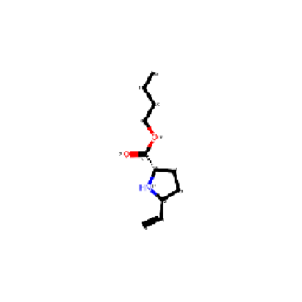 C=C[C@@H]1CC[C@@H](C(=O)OCCCC)N1